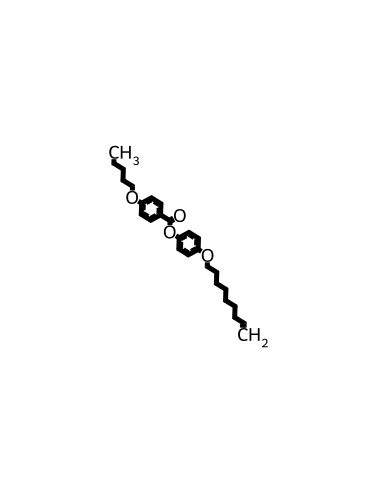 C=CCCCCCCCOc1ccc(OC(=O)c2ccc(OCCCCC)cc2)cc1